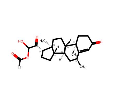 CCC(=O)OC(O)C(=O)[C@H]1CC[C@H]2[C@@H]3C[C@H](C)C4=CC(=O)CC[C@]4(C)[C@H]3CC[C@]12C